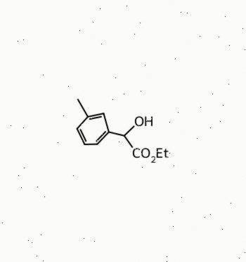 CCOC(=O)C(O)c1cccc(C)c1